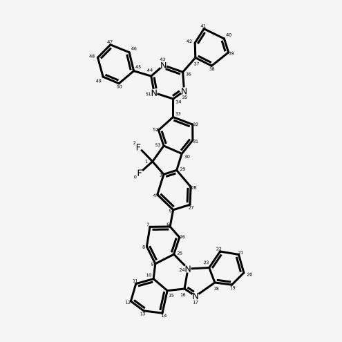 FC1(F)c2cc(-c3ccc4c5ccccc5c5nc6ccccc6n5c4c3)ccc2-c2ccc(-c3nc(-c4ccccc4)nc(-c4ccccc4)n3)cc21